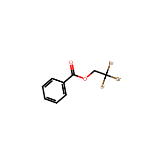 O=C(OCC(Br)(Br)Br)c1ccccc1